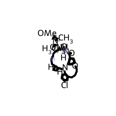 CO[C@@H]1CN(C(=O)NC2[C@@H](C)C/C=C/C[C@@H]3CC[C@H]3CN3Cc4ccc(Cl)cc4CCCCOc4ccc(cc43)C(=O)/N=[SH]\2=O)[C@H]1C